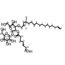 C=CCCCCCCCCCCC[C@H](C)C[C@H](C)COC1C(OC(=O)CCCCCCCCCCCCCCC)[C@@H](O[C@H]2OC(CO)[C@@H](O)C(O)C2O)OC(CO)[C@H]1O